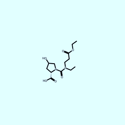 CCOC(=O)CCN(CC)C(=O)N1CC(O)C[C@H]1C(=O)O